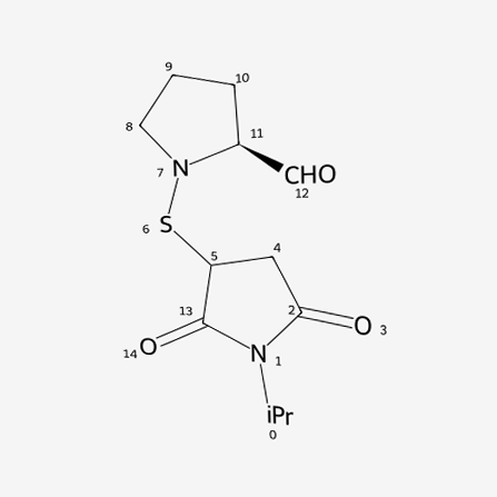 CC(C)N1C(=O)CC(SN2CCC[C@H]2C=O)C1=O